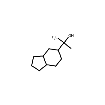 CC(O)(C1CCC2CCCC2C1)C(F)(F)F